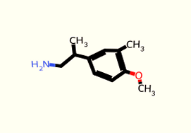 COc1ccc(C(C)CN)cc1C